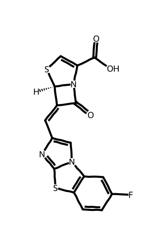 O=C(O)C1=CS[C@@H]2C(=Cc3cn4c(n3)sc3ccc(F)cc34)C(=O)N12